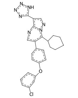 Clc1cccc(Oc2ccc(-c3cnc4c(-c5nnn[nH]5)cnn4c3C3CCCCC3)cc2)c1